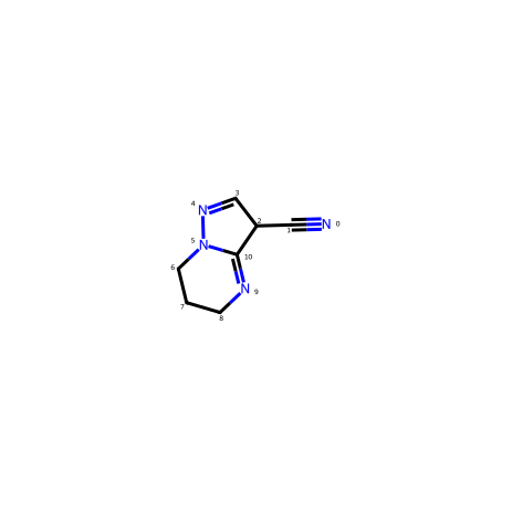 N#CC1C=NN2CCCN=C12